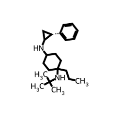 CCCC1(NC(C)(C)C)CCC(NC2C[C@@H]2c2ccccc2)CC1